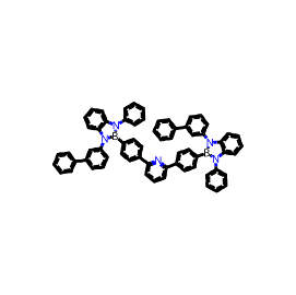 c1ccc(-c2cccc(N3B(c4ccc(-c5cccc(-c6ccc(B7N(c8ccccc8)c8ccccc8N7c7cccc(-c8ccccc8)c7)cc6)n5)cc4)N(c4ccccc4)c4ccccc43)c2)cc1